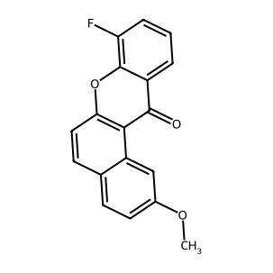 COc1ccc2ccc3oc4c(F)cccc4c(=O)c3c2c1